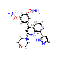 NOc1cc(ON)cc(-c2cc(N3CCOCC3)nc3c(-c4ccn[nH]4)nccc23)c1